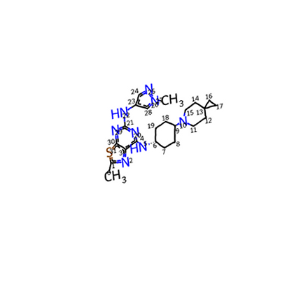 Cc1nc2c(N[C@H]3CC[C@H](N4CCC5(CC4)CC5)CC3)nc(Nc3cnn(C)c3)nc2s1